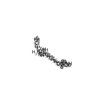 N=C(c1ccc(Oc2ccc(C(F)(F)F)cc2)cc1)c1c(N)ncnc1NC1CCN(C2CCN(C3CN(c4ccc5c(c4)C(=O)N(C4CCC(=O)NC4=O)C5=O)C3)CC2)CC1